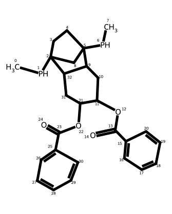 CPC12CCC(PC)(C1)C1CC(OC(=O)c3ccccc3)C(OC(=O)c3ccccc3)CC12